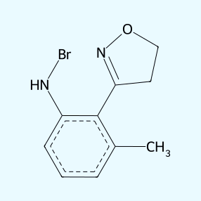 Cc1cccc(NBr)c1C1=NOCC1